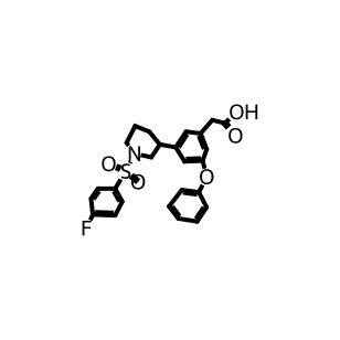 O=C(O)Cc1cc(Oc2ccccc2)cc(C2CCCN(S(=O)(=O)c3ccc(F)cc3)C2)c1